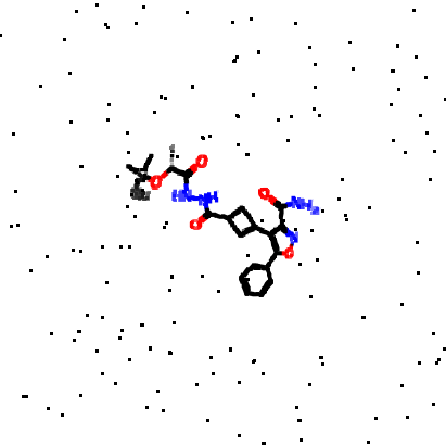 C[C@@H](O[Si](C)(C)C(C)(C)C)C(=O)NNC(=O)C1CC(c2c(C(N)=O)noc2-c2ccccc2)C1